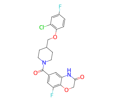 O=C1COc2c(F)cc(C(=O)N3CCC(COc4ccc(F)cc4Cl)CC3)cc2N1